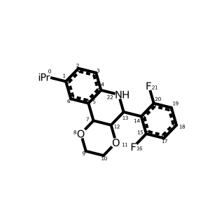 CC(C)c1ccc2c(c1)C1OCCOC1C(c1c(F)cccc1F)N2